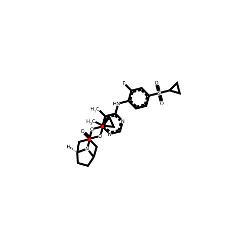 Cc1c(Nc2ccc(S(=O)(=O)C3CC3)cc2F)ncnc1OC1CC2CC[C@@H](C1)N2C(=O)OC1(C)CC1